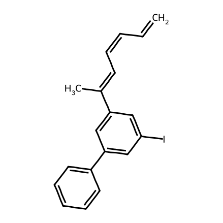 C=C/C=C\C=C(/C)c1cc(I)cc(-c2ccccc2)c1